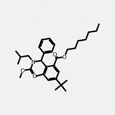 CCCCCCCOC(=O)c1cc(C(C)(C)C)cc(C)c1C(c1ccccc1)N(CC(C)C)C(=O)OC